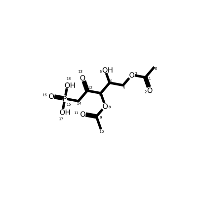 CC(=O)OCC(O)C(OC(C)=O)C(=O)CP(=O)(O)O